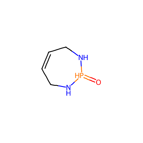 O=[PH]1NCC=CCN1